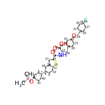 CC(C)Oc1ccc(-c2ccc3sc(C(=O)NC(Cc4ccc(OCc5ccc(F)cc5)cc4)C(=O)O)cc3c2)cc1